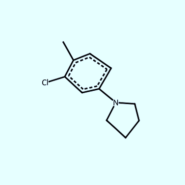 Cc1ccc(N2CCCC2)cc1Cl